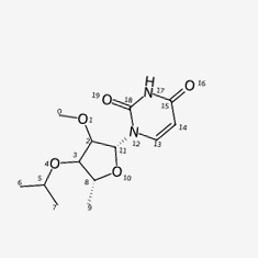 COC1C(OC(C)C)[C@@H](C)O[C@H]1n1ccc(=O)[nH]c1=O